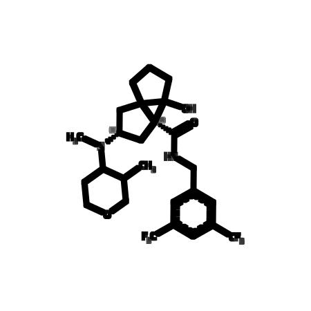 CC1COCCC1N(C)[C@@H]1CC23CCCC2(O)[C@@]3(C(=O)NCc2cc(C(F)(F)F)cc(C(F)(F)F)c2)C1